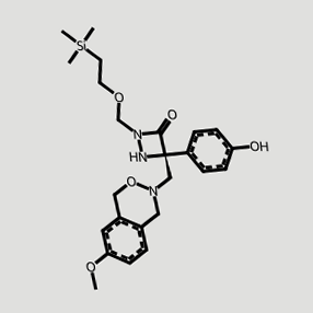 COc1ccc2c(c1)CON(C[C@@]1(c3ccc(O)cc3)NN(COCC[Si](C)(C)C)C1=O)C2